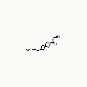 CC(=O)OCCC1CC2(C1)CN(C(=O)OC(C)(C)C)C2